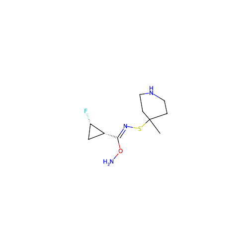 CC1(S/N=C(\ON)[C@@H]2C[C@@H]2F)CCNCC1